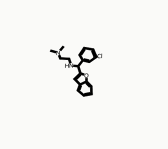 CN(C)CCNC(c1ccccc1)c1cc2ccccc2o1.Cl